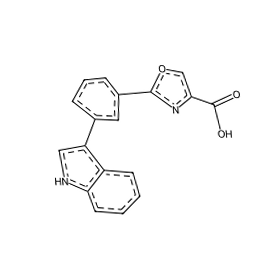 O=C(O)c1coc(-c2cccc(-c3c[nH]c4ccccc34)c2)n1